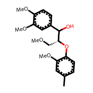 COC[C@@H](Oc1ccc(C)cc1OC)C(O)c1ccc(OC)c(OC)c1